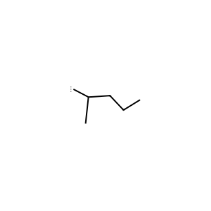 [C]C(C)CCC